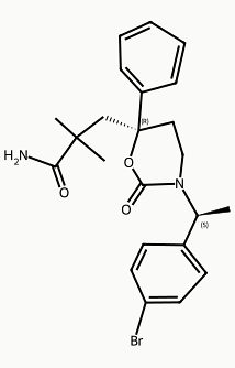 C[C@@H](c1ccc(Br)cc1)N1CC[C@](CC(C)(C)C(N)=O)(c2ccccc2)OC1=O